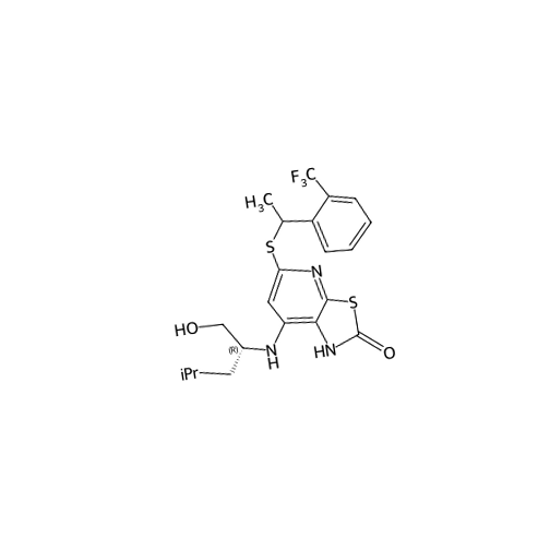 CC(C)C[C@H](CO)Nc1cc(SC(C)c2ccccc2C(F)(F)F)nc2sc(=O)[nH]c12